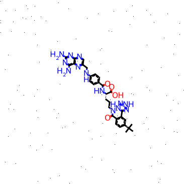 CC(C)(C)c1ccc(C(=O)NCCC[C@H](NC(=O)c2ccc(NCc3cnc4nc(N)nc(N)c4n3)cc2)C(=O)O)c(-c2nn[nH]n2)c1